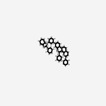 c1ccc(-c2ccc3ccc4c5ccc(-c6cccc(-n7c(-c8ccccc8)nc8ccccc87)c6)cc5nc(-c5ccccc5)c4c3n2)cc1